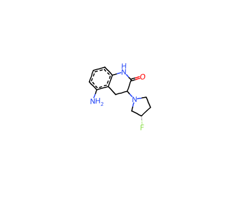 Nc1cccc2c1CC(N1CC[C@H](F)C1)C(=O)N2